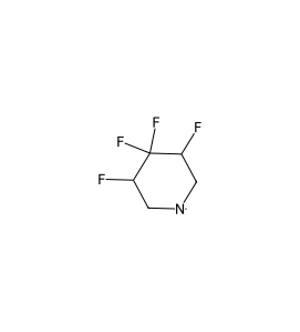 FC1C[N]CC(F)C1(F)F